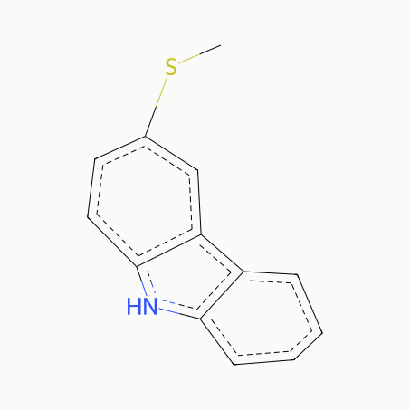 CSc1ccc2[nH]c3ccccc3c2c1